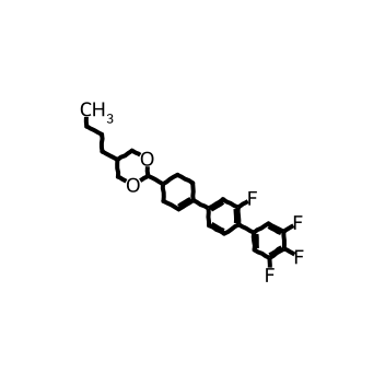 CCCCC1COC(C2CC=C(c3ccc(-c4cc(F)c(F)c(F)c4)c(F)c3)CC2)OC1